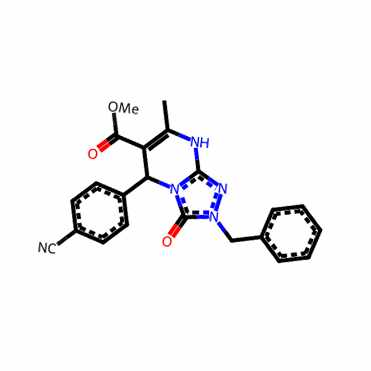 COC(=O)C1=C(C)Nc2nn(Cc3ccccc3)c(=O)n2C1c1ccc(C#N)cc1